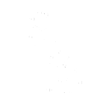 Cc1c(N2CCN(C(=O)c3cc(Cl)ccc3Cl)CC2)ccc2oc(OC(=O)O)cc12